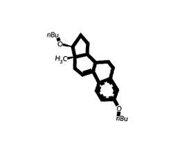 CCCCOc1ccc2c(c1)CCC1C2=CC[C@@]2(C)C1CC[C@@H]2OCCCC